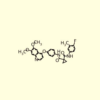 COc1cc2nccc(Oc3ccc(NC(=O)C4(C(=O)Nc5ccc(F)c(C)c5)CC4)cc3)c2cc1OC